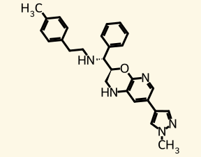 Cc1ccc(CCN[C@H](c2ccccc2)[C@@H]2CNc3cc(-c4cnn(C)c4)cnc3O2)cc1